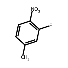 [CH2]c1ccc([N+](=O)[O-])c(F)c1